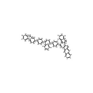 c1ccc2cc3c(cc2c1)sc1c3cc(-c2ccc(-c3ccc(-c4ccc(-c5ccc6c(c5)sc5ccccc56)cc4)c4ccccc34)cc2)n2c3ccccc3nc12